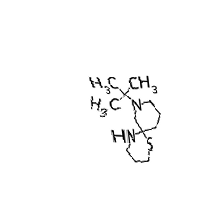 CC(C)(C)N1CCCC2(C1)NCCCS2